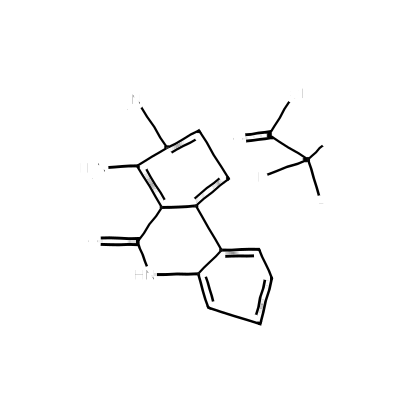 Nc1ccc2c(c1N)c(=O)[nH]c1ccccc12.O=C(O)C(F)(F)F